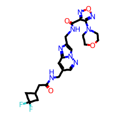 O=C(CC1CC(F)(F)C1)NCc1cnn2cc(CNC(=O)c3nonc3N3CCOCC3)nc2c1